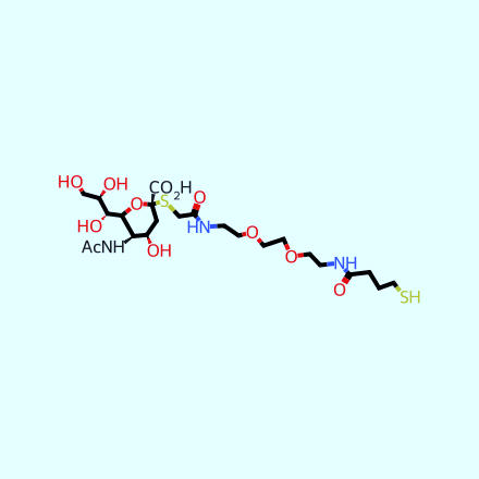 CC(=O)N[C@H]1C([C@H](O)[C@H](O)CO)O[C@@](SCC(=O)NCCOCCOCCNC(=O)CCCS)(C(=O)O)C[C@H]1O